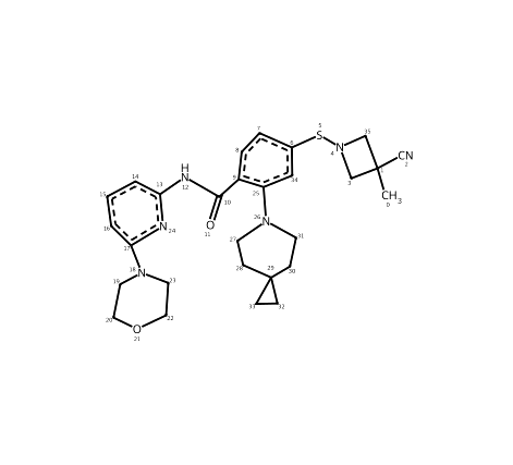 CC1(C#N)CN(Sc2ccc(C(=O)Nc3cccc(N4CCOCC4)n3)c(N3CCC4(CC3)CC4)c2)C1